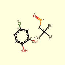 CCCCC(CC)(CC)CP=O.Oc1ccc(Cl)cc1Br